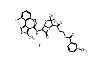 Cc1onc(-c2c(Cl)cccc2Cl)c1C(=O)NC1C(=O)N2C1SC(C)(C)C2C(=O)OCOC(=O)c1ccc[n+](C)c1.[I-]